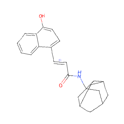 O=C(/C=C/c1ccc(O)c2ccccc12)NC12CC3CC(CC(C3)C1)C2